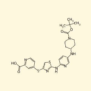 CC(C)(C)OC(=O)N1CCC(Nc2ccc(Nc3nc(Sc4ccnc(C(=O)O)c4)cs3)nc2)CC1